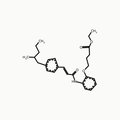 CCCC(C)Cc1ccc(C=CC(=O)Nc2ccccc2OCCCC(=O)OCC)cc1